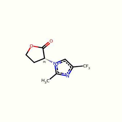 Cc1nc(C(F)(F)F)cn1[C@@H]1CCOC1=O